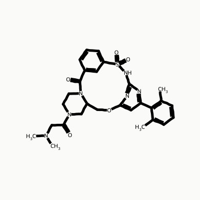 Cc1cccc(C)c1-c1cc2nc(n1)NS(=O)(=O)c1cccc(c1)C(=O)N1CCN(C(=O)CN(C)C)CC1CO2